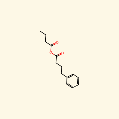 CCCC(=O)OC(=O)CCCc1ccccc1